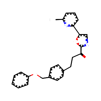 Cc1cccc(-c2cnc(C(=O)CCc3ccc(COc4ccccc4)cc3)o2)n1